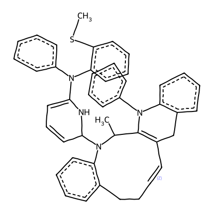 CSc1ccccc1N(C1=CC=CC(N2c3ccccc3CC/C=C\C3=C(C2C)N(c2ccccc2)c2ccccc2C3)N1)c1ccccc1